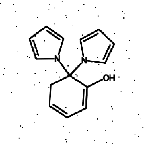 OC1=CC=CCC1(n1cccc1)n1cccc1